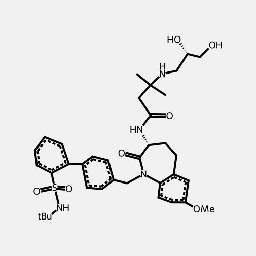 COc1ccc2c(c1)CC[C@@H](NC(=O)CC(C)(C)NC[C@H](O)CO)C(=O)N2Cc1ccc(-c2ccccc2S(=O)(=O)NC(C)(C)C)cc1